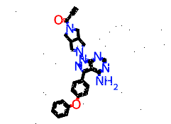 C#CC(=O)N1CC2CN(n3nc(-c4ccc(Oc5ccccc5)cc4)c4c(N)ncnc43)CC2C1